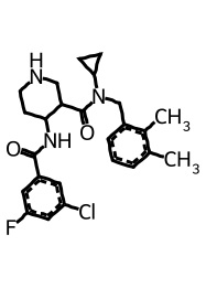 Cc1cccc(CN(C(=O)C2CNCCC2NC(=O)c2cc(F)cc(Cl)c2)C2CC2)c1C